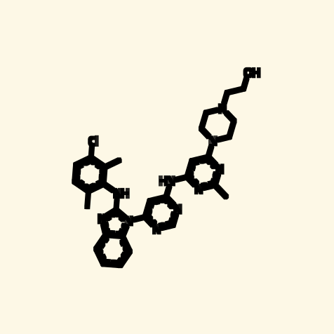 Cc1nc(Nc2cc(-n3c(Nc4c(C)ccc(Cl)c4C)nc4ccccc43)ncn2)cc(N2CCN(CCO)CC2)n1